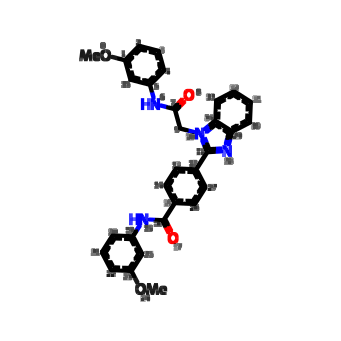 COc1cccc(NC(=O)Cn2c(-c3ccc(C(=O)Nc4cccc(OC)c4)cc3)nc3ccccc32)c1